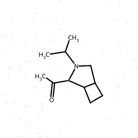 CC(=O)C1C2CCC2CN1C(C)C